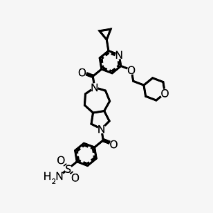 NS(=O)(=O)c1ccc(C(=O)N2CC3CCN(C(=O)c4cc(OCC5CCOCC5)nc(C5CC5)c4)CCC3C2)cc1